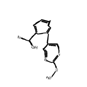 CCCOc1ncc(-c2ccccc2C(O)CC)cn1